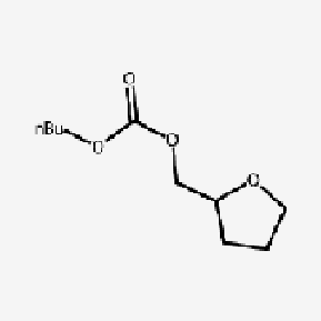 CCCCOC(=O)OCC1CCCO1